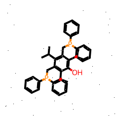 CC(C)c1c(O)c(C(C)C)c(CP(c2ccccc2)c2ccccc2)c(C(C)C)c1CP(c1ccccc1)c1ccccc1